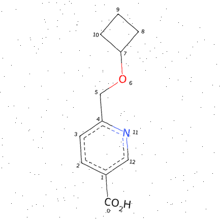 O=C(O)c1ccc(COC2CCC2)nc1